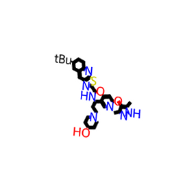 Cc1n[nH]c(C)c1Oc1ccc(C(CCN2CCC(O)CC2)NC(=O)c2nc3cc4c(nc3s2)CC[C@H](C(C)(C)C)C4)cn1